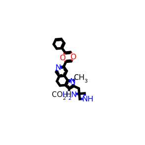 Cn1c(CC2(N)CNC2)c(C(=O)O)c2c1-c1cc(C3=COC=C(C4=CC=CCC4)O3)ncc1CC2